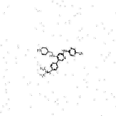 CN(C)Sc1ccc(-c2cnc(Nc3cnc(C#N)cn3)cc2NCC2CCNCC2)cc1